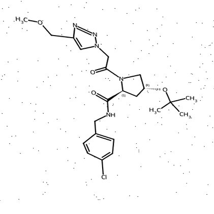 COCc1cn(CC(=O)N2C[C@H](OC(C)(C)C)C[C@H]2C(=O)NCc2ccc(Cl)cc2)nn1